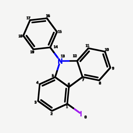 Ic1cccc2c1c1ccccc1n2-c1ccccc1